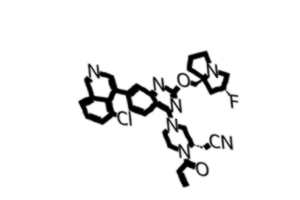 C=CC(=O)N1CCN(c2nc(OC[C@@]34CCCN3C[C@H](F)C4)nc3cc(-c4cncc5cccc(Cl)c45)ccc23)C[C@@H]1CC#N